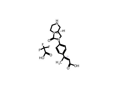 C/C(=C\C(=O)O)c1ccc(N2C[C@@H]3CNCCN3C2=O)cc1.O=C(O)C(F)(F)F